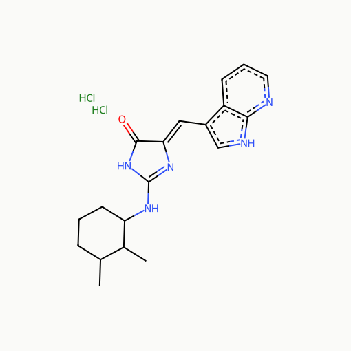 CC1CCCC(NC2=N/C(=C\c3c[nH]c4ncccc34)C(=O)N2)C1C.Cl.Cl